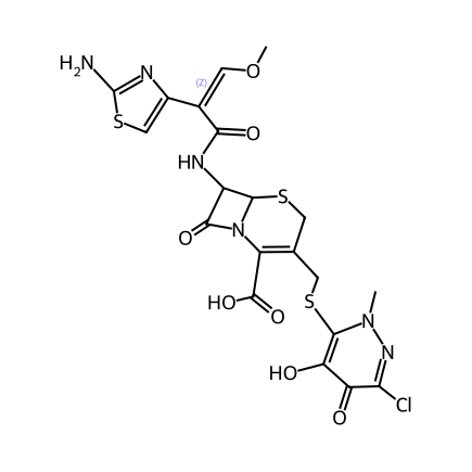 CO/C=C(\C(=O)NC1C(=O)N2C(C(=O)O)=C(CSc3c(O)c(=O)c(Cl)nn3C)CSC12)c1csc(N)n1